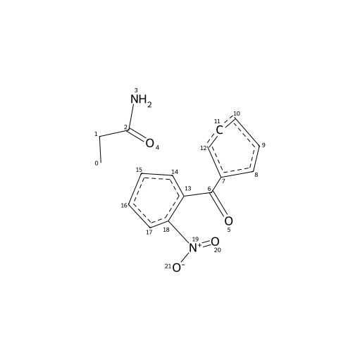 CCC(N)=O.O=C(c1ccccc1)c1ccccc1[N+](=O)[O-]